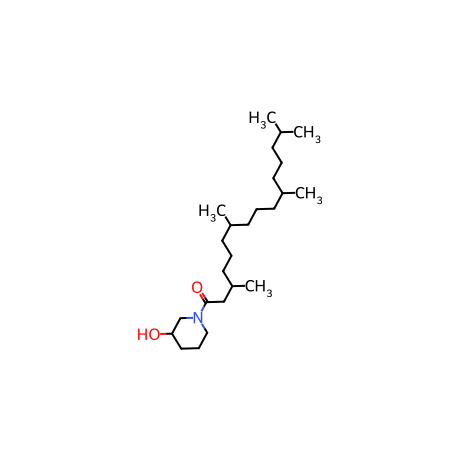 CC(C)CCCC(C)CCCC(C)CCCC(C)CC(=O)N1CCCC(O)C1